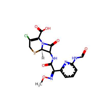 CO/N=C(\C(=O)NC1C(=O)N2C(C(=O)O)=C(Cl)CS[C@H]12)c1cccc(NC=O)n1